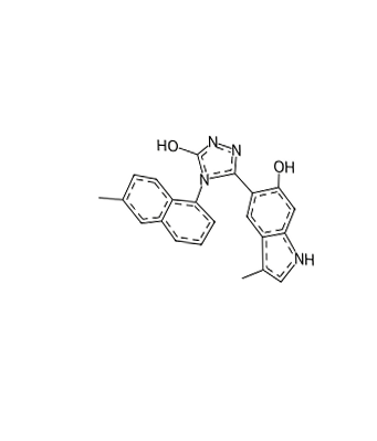 Cc1ccc2c(-n3c(O)nnc3-c3cc4c(C)c[nH]c4cc3O)cccc2c1